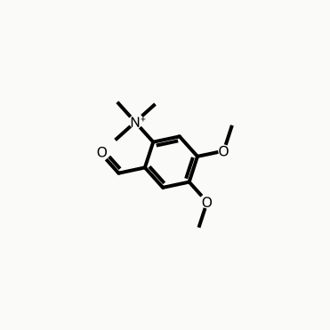 COc1cc(C=O)c([N+](C)(C)C)cc1OC